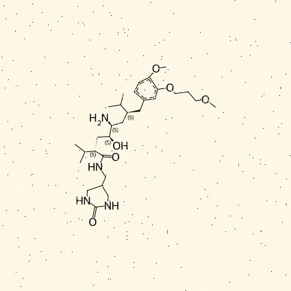 COCCCOc1cc(C[C@@H](C[C@H](N)[C@@H](O)C[C@H](C(=O)NCC2CNC(=O)NC2)C(C)C)C(C)C)ccc1OC